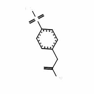 COC(=O)Cc1ccc(S(N)(=O)=O)cc1